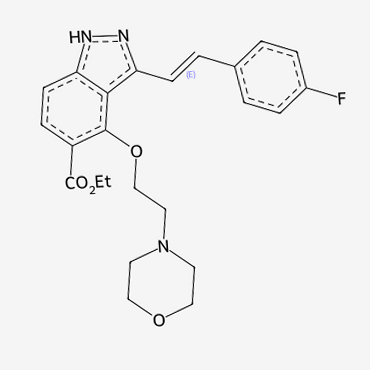 CCOC(=O)c1ccc2[nH]nc(/C=C/c3ccc(F)cc3)c2c1OCCN1CCOCC1